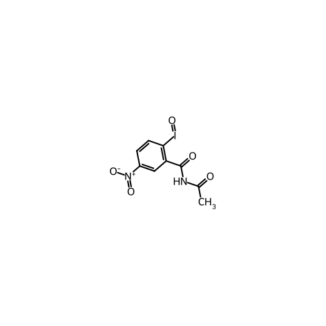 CC(=O)NC(=O)c1cc([N+](=O)[O-])ccc1I=O